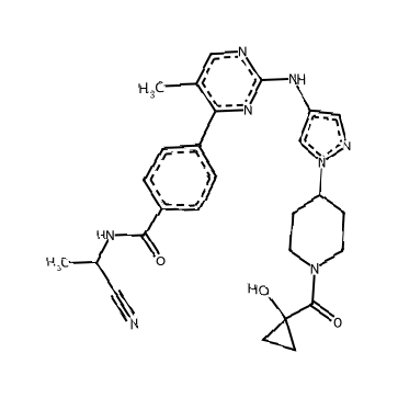 Cc1cnc(Nc2cnn(C3CCN(C(=O)C4(O)CC4)CC3)c2)nc1-c1ccc(C(=O)NC(C)C#N)cc1